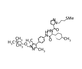 CSCCCn1nccc1C(=O)N[C@H](C(=O)Nc1ccc(-c2c(C)nn(COCC[Si](C)(C)C)c2C)cc1)[C@H]1CC[C@H](C)CC1